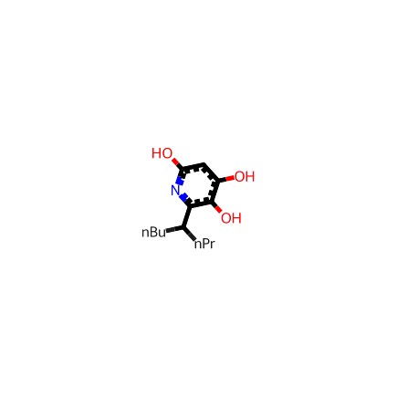 CCCCC(CCC)c1nc(O)cc(O)c1O